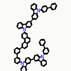 c1ccc(-c2ccc(-n3c4ccccc4c4cc(-c5ccc6c(c5)c5ccccc5n6-c5ccc6c(ccc7ccc(-c8cccc(-c9cccc(-n%10c%11ccccc%11c%11cc(-c%12ccc%13c(c%12)c%12ccccc%12n%13-c%12cccc(-c%13ccccc%13)c%12)ccc%11%10)c9)c8)cc76)c5)ccc43)cc2)cc1